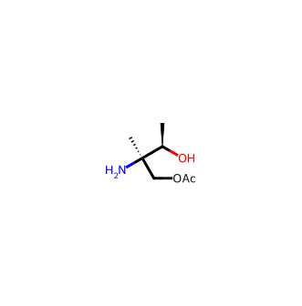 CC(=O)OC[C@@](C)(N)[C@@H](C)O